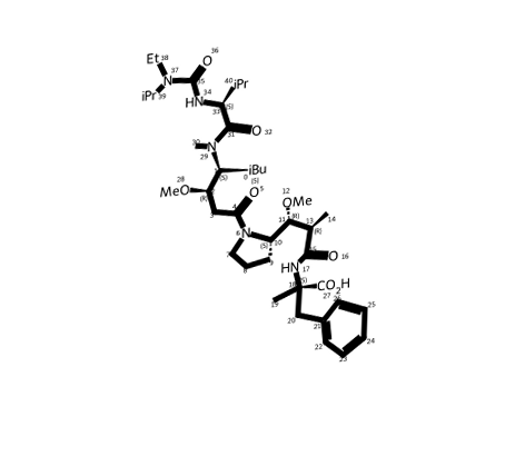 CC[C@H](C)[C@@H]([C@@H](CC(=O)N1CCC[C@H]1[C@H](OC)[C@@H](C)C(=O)N[C@@](C)(Cc1ccccc1)C(=O)O)OC)N(C)C(=O)[C@@H](NC(=O)N(CC)C(C)C)C(C)C